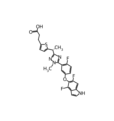 C[C@H](c1nc(-c2cc(Oc3c(F)cc4[nH]ccc4c3F)ccc2F)n(C)n1)c1ccc(CCC(=O)O)s1